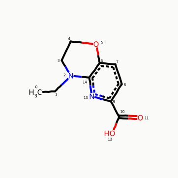 CCN1CCOc2ccc(C(=O)O)nc21